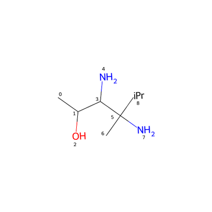 CC(O)C(N)C(C)(N)C(C)C